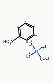 CCCCCCCC[N+](CC)(CC)CC.O=S(=O)(O)c1ccccc1